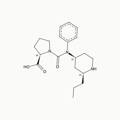 CCC[C@H]1C[C@@H](N(C(=O)N2CCC[C@@H]2C(=O)O)c2ccccc2)CCN1